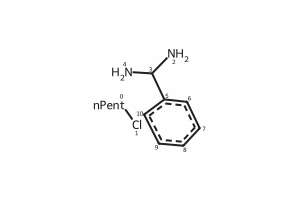 CCCCCCl.NC(N)c1ccccc1